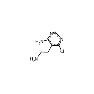 NCCc1c(N)ncnc1Cl